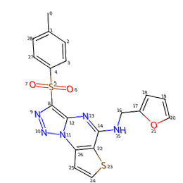 Cc1ccc(S(=O)(=O)c2nnn3c2nc(NCc2ccco2)c2sccc23)cc1